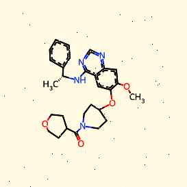 COc1cc2ncnc(N[C@H](C)c3ccccc3)c2cc1OC1CCN(C(=O)C2CCOCC2)CC1